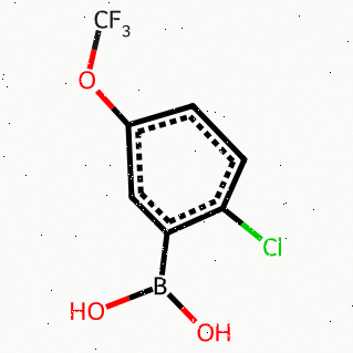 OB(O)c1cc(OC(F)(F)F)ccc1Cl